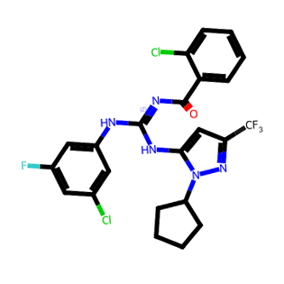 O=C(/N=C(/Nc1cc(F)cc(Cl)c1)Nc1cc(C(F)(F)F)nn1C1CCCC1)c1ccccc1Cl